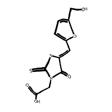 O=C(O)CN1C(=O)C(=Cc2ccc(CO)o2)SC1=S